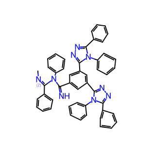 C/N=C(/c1ccccc1)N(C(=N)c1cc(-c2nnc(-c3ccccc3)n2-c2ccccc2)cc(-c2nnc(-c3ccccc3)n2-c2ccccc2)c1)c1ccccc1